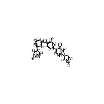 Cc1nc(-c2cnc(-c3cnn(C)c3)n(C)c2=O)ccc1Oc1ccnc(-c2cnn(C)c2)c1